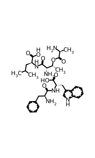 CC(C)C[C@H](NC(=O)[C@@H](N)[C@@H](C)OC(=O)[C@H](C)N)C(=O)O.N[C@@H](Cc1ccccc1)C(=O)N[C@@H](Cc1c[nH]c2ccccc12)C(=O)O